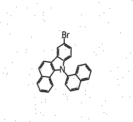 Brc1ccc2c(c1)c1ccc3ccccc3c1n2-c1cccc2ccccc12